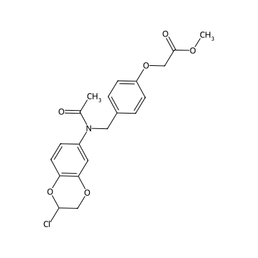 COC(=O)COc1ccc(CN(C(C)=O)c2ccc3c(c2)OCC(Cl)O3)cc1